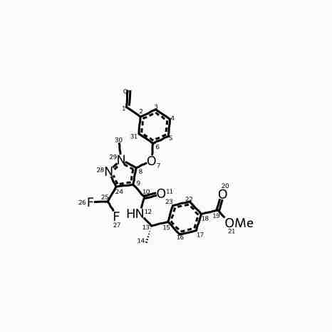 C=Cc1cccc(Oc2c(C(=O)N[C@@H](C)c3ccc(C(=O)OC)cc3)c(C(F)F)nn2C)c1